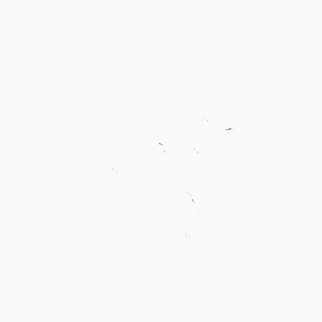 C=C[C@@H]1C[C@]1(NC(=O)[C@@H]1C[C@@H](Oc2c3ccc(F)cc3nc3c2oc2cccc(F)c23)CN1C(=O)[C@@H](NC(=O)OC1CCCC1)C(C)C)C(=O)NS(=O)(=O)C1CC1